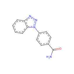 NC(=O)c1ccc(-n2nnc3ccccc32)cc1